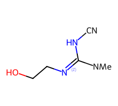 CN/C(=N/CCO)NC#N